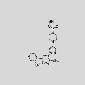 CC(C)(C)OC(=O)N1CCN(c2cnn(-c3cc(-c4ccccc4O)nnc3N)c2)CC1